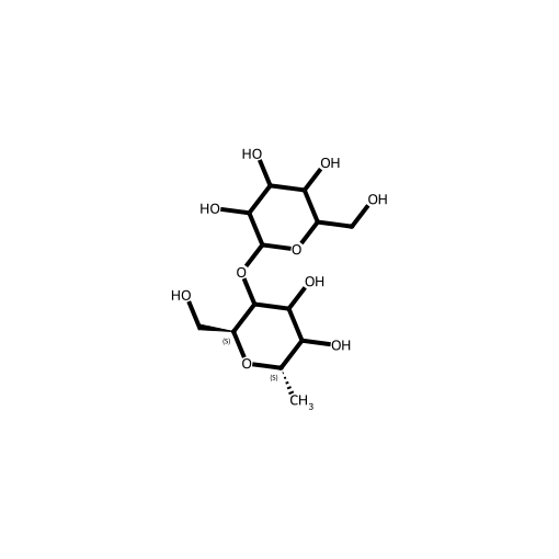 C[C@@H]1O[C@@H](CO)C(OC2OC(CO)C(O)C(O)C2O)C(O)C1O